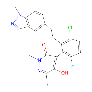 Cc1nn(C)c(=O)c(-c2c(F)ccc(Cl)c2CCc2ccc3c(cnn3C)c2)c1O